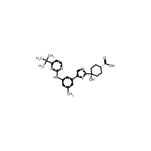 Cc1cc(Nc2nccc(C(C)(C)C)n2)cc(-c2cnc([C@]3(O)CC[C@H](C(=O)O)CC3)s2)c1